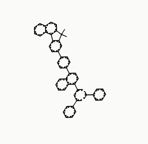 CC1(C)c2cc(-c3ccc(-c4ccc(-c5cc(-c6ccccc6)nc(-c6ccccc6)n5)c5ccccc45)cc3)ccc2-c2c1ccc1ccccc21